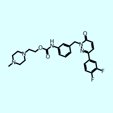 CN1CCN(CCOC(=O)Nc2cccc(Cn3nc(-c4ccc(F)c(F)c4)ccc3=O)c2)CC1